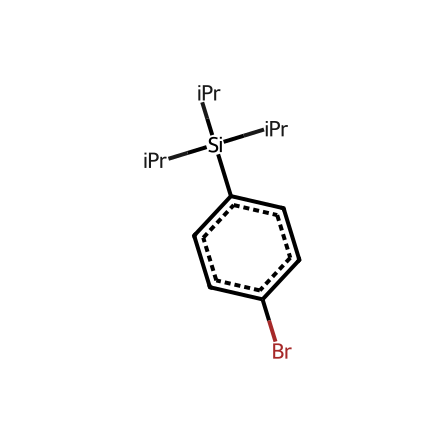 CC(C)[Si](c1ccc(Br)cc1)(C(C)C)C(C)C